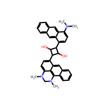 CN(C)c1ccc(C2C(O)C(c3ccc4c5c(c6ccccc6cc35)N(C)CN4C)C2O)c2cc3ccccc3cc12